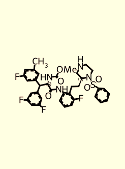 COC(=O)N[C@H](C(=O)Nc1cccc(F)c1CC[C@H]1CNCCN1S(=O)(=O)c1ccccc1)C(c1cc(C)cc(F)c1)c1cc(F)cc(F)c1